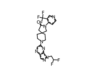 O=C1CC2(CCN(c3cnc4cnn(CC(F)F)c4n3)CC2)CN1c1ccncc1C(F)(F)F